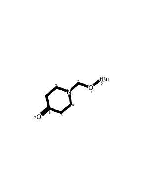 CC(C)(C)OCN1CCC(=O)CC1